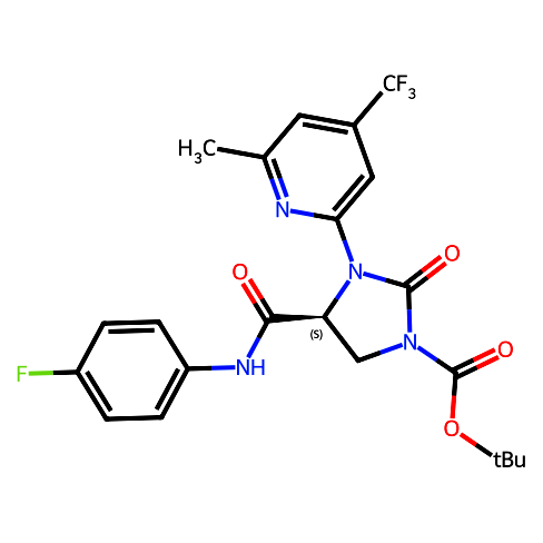 Cc1cc(C(F)(F)F)cc(N2C(=O)N(C(=O)OC(C)(C)C)C[C@H]2C(=O)Nc2ccc(F)cc2)n1